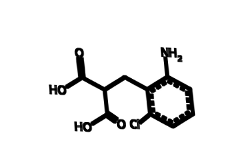 Nc1cccc(Cl)c1CC(C(=O)O)C(=O)O